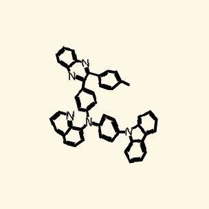 Cc1ccc(-c2nc3ccccc3nc2-c2ccc(N(c3ccc(-n4c5ccccc5c5ccccc54)cc3)c3cccc4cccnc34)cc2)cc1